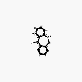 IC1c2ccccc2CSc2cccnc21